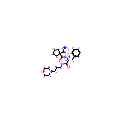 NC(=O)C1(C(=O)N[C@H](Cc2ccccc2)C(=O)NCCCN2CCOCC2)CCCC1